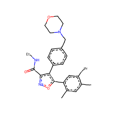 CCNC(=O)c1noc(-c2cc(C(C)C)c(C)cc2C)c1-c1ccc(CN2CCOCC2)cc1